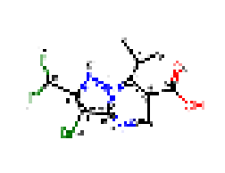 CC(C)c1c(C(=O)O)cnc2c(Br)c(C(F)F)nn12